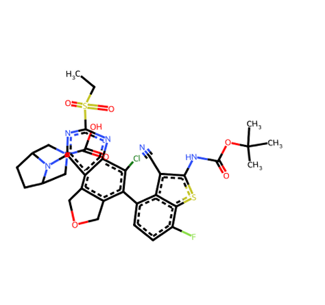 CCS(=O)(=O)c1nc(N2C3CCC2CN(C(=O)O)C3)c2c3c(c(-c4ccc(F)c5sc(NC(=O)OC(C)(C)C)c(C#N)c45)c(Cl)c2n1)COC3